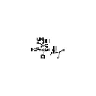 CC(C)NC[C@H]1O[C@@](O)(CO)[C@H](O)[C@H]1O